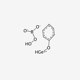 [GeH+2][O]c1ccccc1.[O-]B([O-])OO